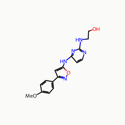 COc1ccc(-c2cc(Nc3ccnc(NCCO)n3)on2)cc1